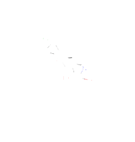 CCCCOC(=O)c1nc(C)c2ccc(Oc3ccc(Cl)cc3)cc2c1O